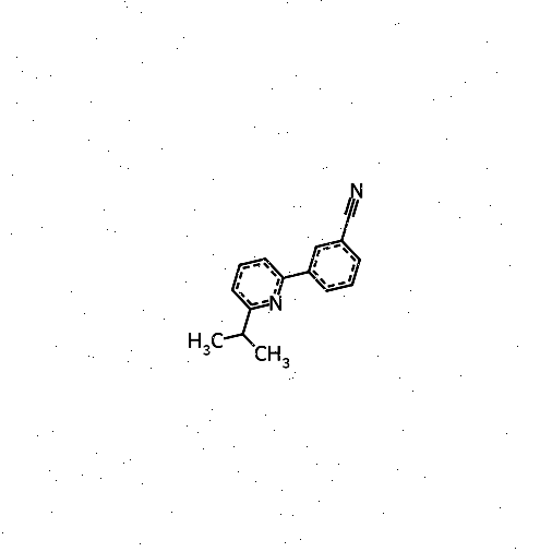 CC(C)c1cccc(-c2cccc(C#N)c2)n1